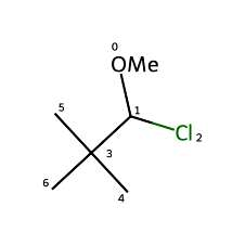 COC(Cl)C(C)(C)C